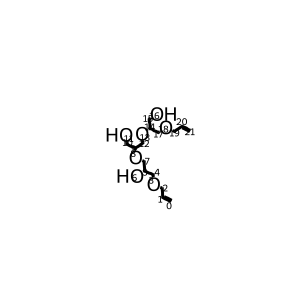 C=CCOCC(O)COC(CO)COC(CO)COCC=C